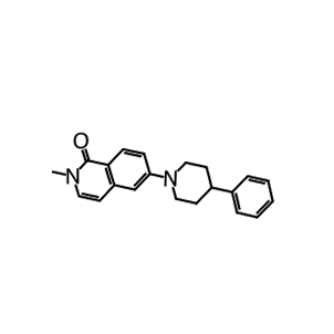 Cn1ccc2cc(N3CCC(c4ccccc4)CC3)ccc2c1=O